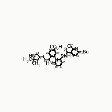 CC1(C)CC(CCC(Nc2cccc(SNC(=O)c3ccc(C(C)(C)C)nc3Cl)n2)c2ccc(C(=O)O)cc2)CN1